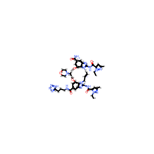 CCn1nc(C)cc1C(=O)Nc1nc2cc(C(N)=O)cc3c2n1C/C=C/Cn1c(NC(=O)c2cc(C)nn2CC)nc2cc(C(=O)NCCCc4nnn[nH]4)cc(c21)OCC(N1CCOCC1)CO3